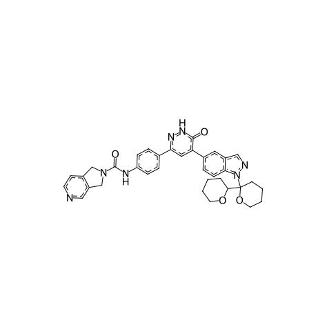 O=C(Nc1ccc(-c2cc(-c3ccc4c(cnn4C4(C5CCCCO5)CCCCO4)c3)c(=O)[nH]n2)cc1)N1Cc2ccncc2C1